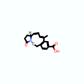 C/C1=C\C=C/[C@H]2CCC(=O)N2CCc2ccc(C(=O)O)cc21